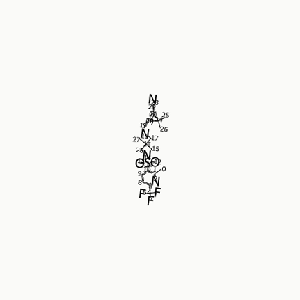 Cc1nc(C(F)(F)F)ccc1S(=O)(=O)N1CC2(CN(C[C@@H]3[C@@H](C#N)C3(C)C)C2)C1